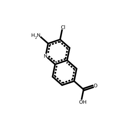 Nc1nc2ccc(C(=O)O)cc2cc1Cl